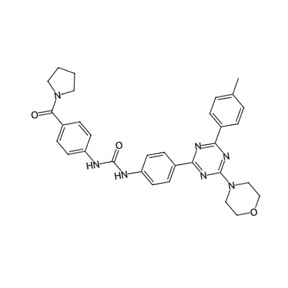 Cc1ccc(-c2nc(-c3ccc(NC(=O)Nc4ccc(C(=O)N5CCCC5)cc4)cc3)nc(N3CCOCC3)n2)cc1